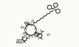 CC[C@H]1OC(=O)[C@H](C)[C@@H](O[C@H]2C[C@@](C)(OC)[C@@H](O)[C@H](C)O2)[C@H](C)[C@@H](O[C@@H]2O[C@H](C)C[C@H](N(C)C)[C@H]2O)[C@](C)(O)C[C@@H](C)CN(C(=O)CCCCCCCCCCC[P+](C2CCCCC2)(C2CCCCC2)C2CCCCC2)[C@H](C)[C@@H](O)[C@]1(C)O.[Cl-]